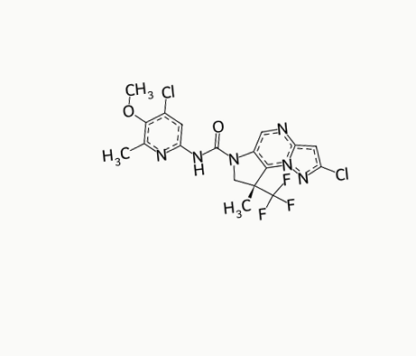 COc1c(Cl)cc(NC(=O)N2C[C@@](C)(C(F)(F)F)c3c2cnc2cc(Cl)nn32)nc1C